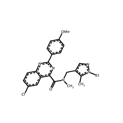 CCn1ncc(CN(C)C(=O)c2nc(-c3ccc(OC)cc3)nc3ccc(Cl)cc23)c1C